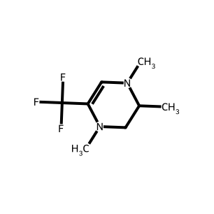 CC1CN(C)C(C(F)(F)F)=CN1C